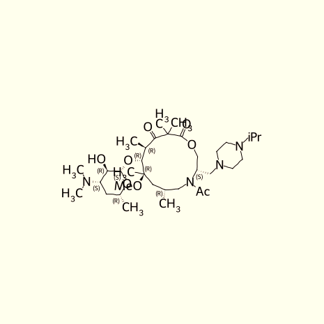 CO[C@]1(C)C[C@@H](C)CN(C(C)=O)[C@@H](CN2CCN(C(C)C)CC2)COC(=O)C(C)(C)C(=O)[C@H](C)[C@H]1O[C@@H]1O[C@H](C)C[C@H](N(C)C)[C@H]1O